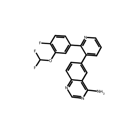 Nc1ncnc2ccc(-c3cccnc3-c3ccc(F)c(OC(F)F)c3)cc12